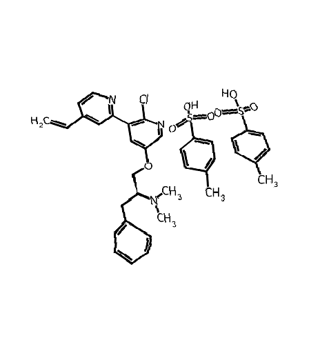 C=Cc1ccnc(-c2cc(OC[C@H](Cc3ccccc3)N(C)C)cnc2Cl)c1.Cc1ccc(S(=O)(=O)O)cc1.Cc1ccc(S(=O)(=O)O)cc1